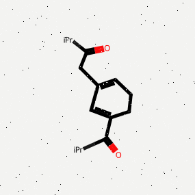 CC(C)C(=O)CC1=CCCC(C(=O)C(C)C)=C1